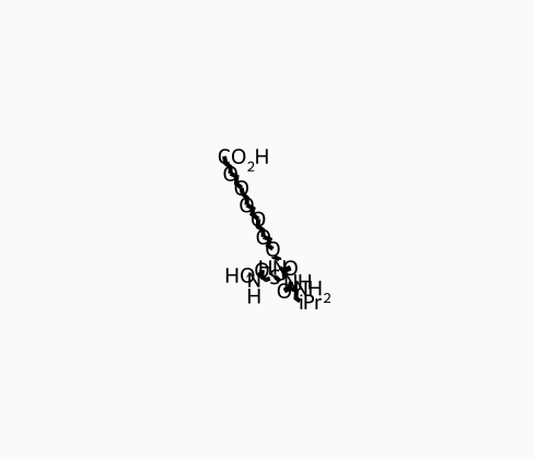 CC(C)C[C@H](N)C(=O)N[C@@H](CSCC(=O)NO)C(=O)NCCOCCOCCOCCOCCOCCOCCC(=O)O